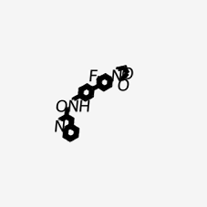 O=C(NCc1ccc(-c2ccc(N3CCOC3=O)cc2F)cc1)c1cnc2ccccc2c1